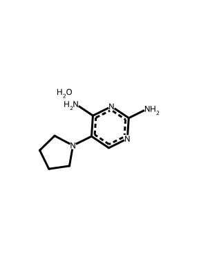 Nc1ncc(N2CCCC2)c(N)n1.O